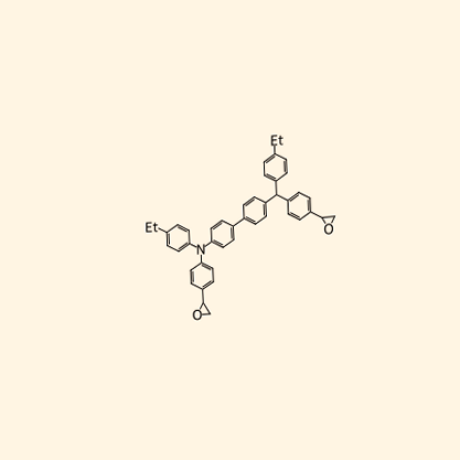 CCc1ccc(C(c2ccc(-c3ccc(N(c4ccc(CC)cc4)c4ccc(C5CO5)cc4)cc3)cc2)c2ccc(C3CO3)cc2)cc1